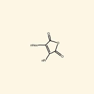 CCCCCCC1=C(CCC)C(=O)OC1=O